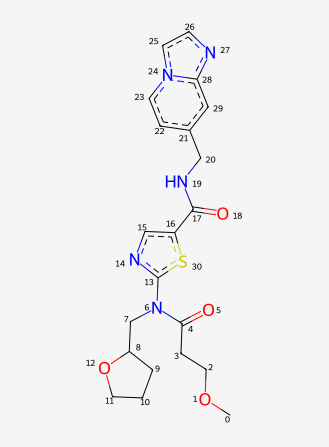 COCCC(=O)N(CC1CCCO1)c1ncc(C(=O)NCc2ccn3ccnc3c2)s1